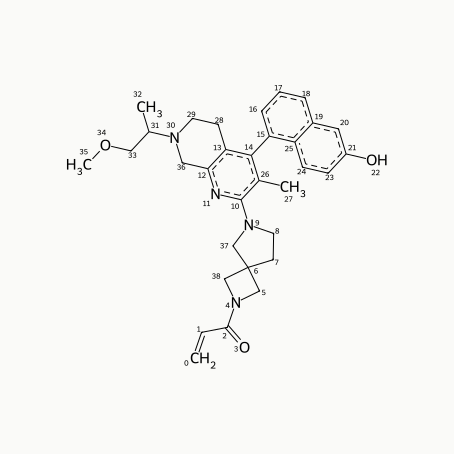 C=CC(=O)N1CC2(CCN(c3nc4c(c(-c5cccc6cc(O)ccc56)c3C)CCN(C(C)COC)C4)C2)C1